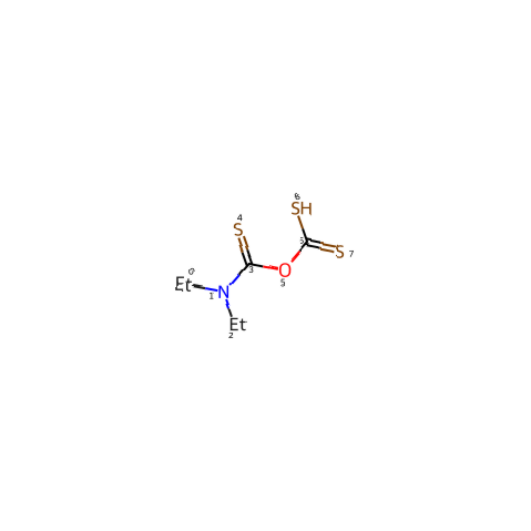 CCN(CC)C(=S)OC(=S)S